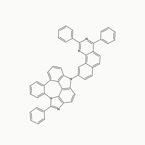 c1ccc(-c2nc(-c3ccccc3)c3ccc4ccc(-n5c6cccc7c8ccccc8n8c(-c9ccccc9)nc9ccc5c(c76)c98)cc4c3n2)cc1